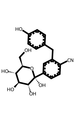 N#Cc1ccc([C@]2(O)O[C@H](CO)[C@@H](O)[C@H](O)[C@H]2O)cc1Cc1ccc(O)cc1